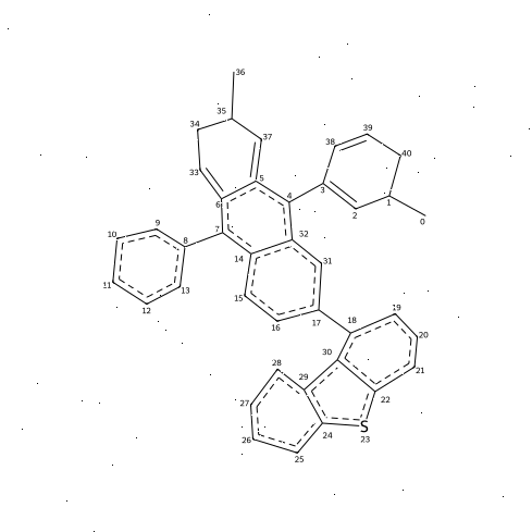 CC1C=C(c2c3c(c(-c4ccccc4)c4ccc(-c5cccc6sc7ccccc7c56)cc24)=CCC(C)C=3)C=CC1